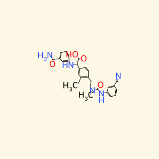 CCc1cc(C(Nc2cccc(C(N)=O)c2)C(=O)O)ccc1CCN(C)C(=O)Nc1cccc(C#N)c1